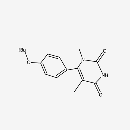 Cc1c(-c2ccc(OC(C)(C)C)cc2)n(C)c(=O)[nH]c1=O